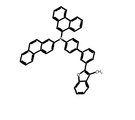 Cc1c(-c2cccc(-c3ccc(N(c4ccc5c(ccc6ccccc65)c4)c4cc5ccccc5c5ccccc45)cc3)c2)oc2ccccc12